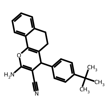 CC(C)(C)c1ccc(C2C(C#N)=C(N)OC3=C2CCc2ccccc23)cc1